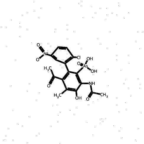 CC(=O)Nc1c(O)c(C)c(C(C)=O)c(-c2cc([N+](=O)[O-])ccc2Cl)c1[As](=O)(O)O